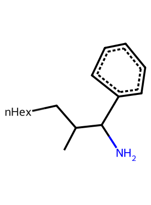 CCCCCCCC(C)C(N)c1ccccc1